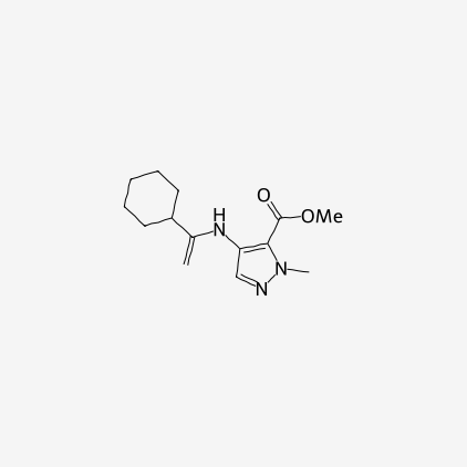 C=C(Nc1cnn(C)c1C(=O)OC)C1CCCCC1